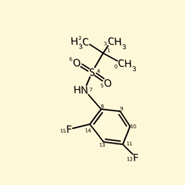 CC(C)(C)S(=O)(=O)Nc1ccc(F)cc1F